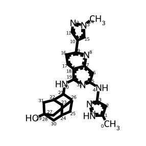 Cc1cc(Nc2cc3nc(-c4cnn(C)c4)ccc3c(NC3C4CC5CC3CC(O)(C5)C4)n2)n[nH]1